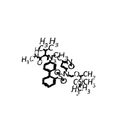 CNC(=O)C(C(C)C)N(C)c1ccc(-c2ccccc2S(=O)(=O)N(COC(C)[Si](C)(C)C)c2cc(C)no2)cc1